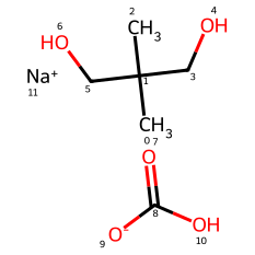 CC(C)(CO)CO.O=C([O-])O.[Na+]